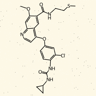 COc1cc2nccc(Oc3ccc(NC(=O)NC4CC4)c(Cl)c3)c2cc1C(=O)NCCSC